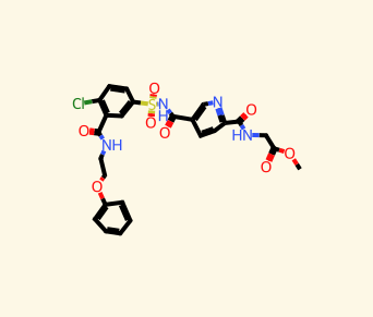 COC(=O)CNC(=O)c1ccc(C(=O)NS(=O)(=O)c2ccc(Cl)c(C(=O)NCCOc3ccccc3)c2)cn1